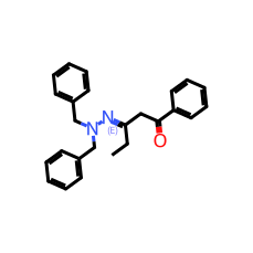 CC/C(CC(=O)c1ccccc1)=N\N(Cc1ccccc1)Cc1ccccc1